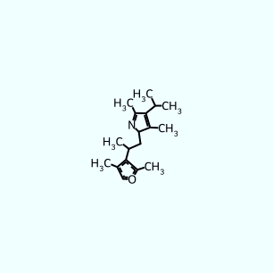 CC1=NC(CC(C)c2c(C)coc2C)C(C)=C1C(C)C